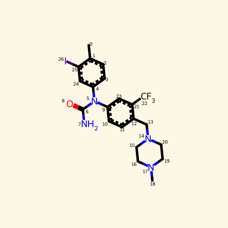 Cc1ccc(N(C(N)=O)c2ccc(CN3CCN(C)CC3)c(C(F)(F)F)c2)cc1I